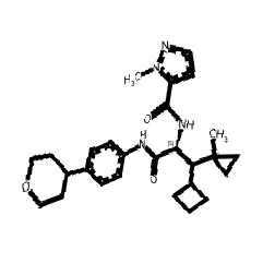 Cn1nccc1C(=O)N[C@H](C(=O)Nc1ccc(C2CCOCC2)cc1)C(C1CCC1)C1(C)CC1